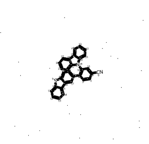 N#Cc1ccc(-c2ccc3sc4ccccc4c3c2)c(-n2c3ccccc3c3ccccc32)c1